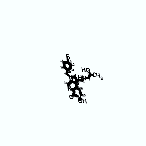 C[C@H](O)CNCc1cn(Cc2ccc(F)cc2)c2cnc3c(=O)n(O)ccc3c12